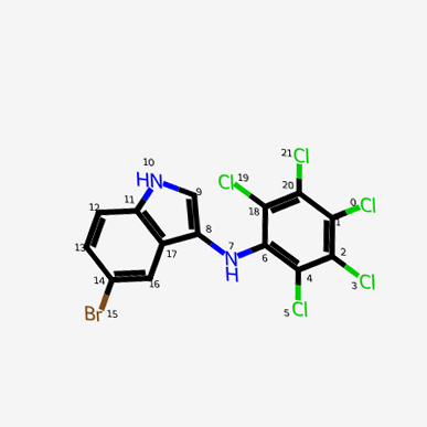 Clc1c(Cl)c(Cl)c(Nc2c[nH]c3ccc(Br)cc23)c(Cl)c1Cl